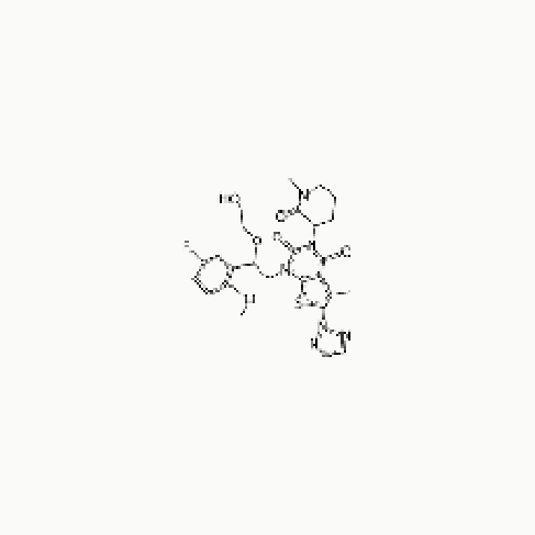 COc1ccc(F)cc1C(Cn1c(=O)n(C2CCCN(C)C2=O)c(=O)c2c(C)c(-n3nccn3)sc21)OCCO